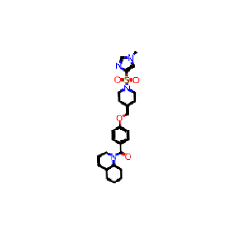 Cn1cnc(S(=O)(=O)N2CCC(COc3ccc(C(=O)N4CCCC5CCCCC54)cc3)CC2)c1